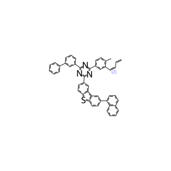 C=C/C=C\c1cc(-c2nc(-c3cccc(-c4ccccc4)c3)nc(-c3ccc4sc5ccc(-c6cccc7ccccc67)cc5c4c3)n2)ccc1C